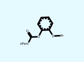 CCCCCC(=O)Oc1ccccc1OC(C)C